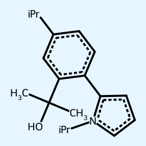 CC(C)c1ccc(-c2cccn2C(C)C)c(C(C)(C)O)c1